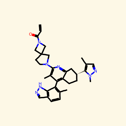 C=CC(=O)N1CC2(CCN(c3nc4c(c(-c5c(C)ccc6cn[nH]c56)c3C)CC[C@@H](c3c(C)cnn3C)C4)C2)C1